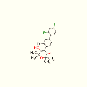 CCc1cc(-c2ccc(F)cc2F)ccc1C1=C(O)C(C)(C)OC(C)(C)C1=O